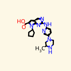 CC1CN(c2ccc(Nc3ncc4cc(C(=O)O)n(C5CCCC5)c4n3)nc2)CCN1